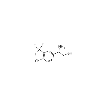 NC(CS)c1ccc(Cl)c(C(F)(F)F)c1